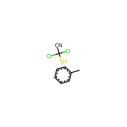 Cc1ccccc1.N#CC(S)(Cl)Cl